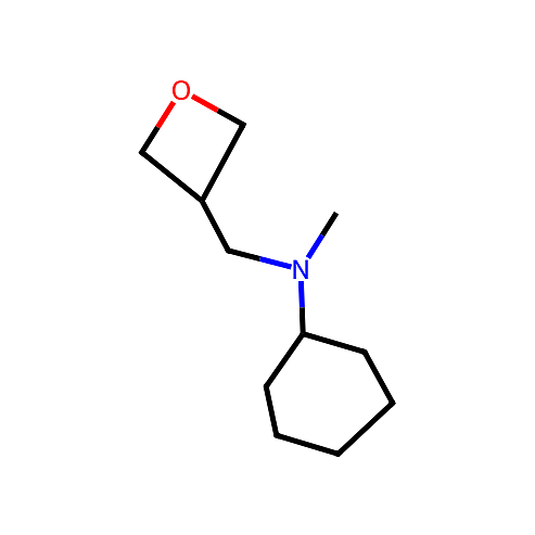 CN(CC1COC1)C1CCCCC1